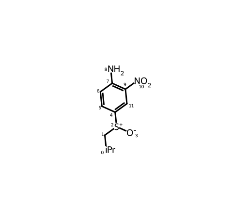 CC(C)C[S+]([O-])c1ccc(N)c([N+](=O)[O-])c1